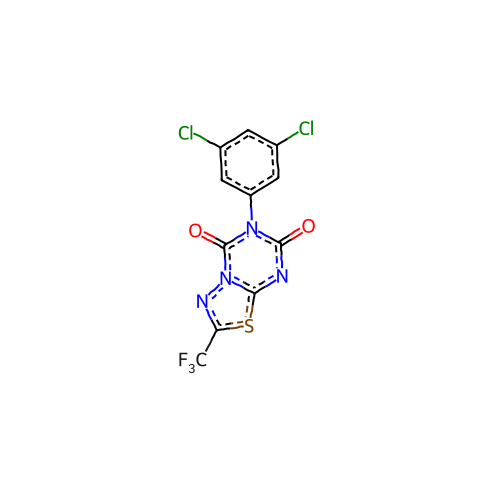 O=c1nc2sc(C(F)(F)F)nn2c(=O)n1-c1cc(Cl)cc(Cl)c1